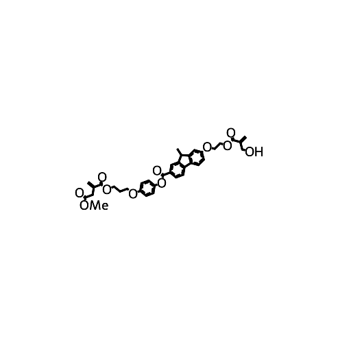 C=C(CO)C(=O)OCCOc1ccc2c(c1)C(C)c1cc(C(=O)Oc3ccc(OCCCOC(=O)C(=C)CC(=O)OC)cc3)ccc1-2